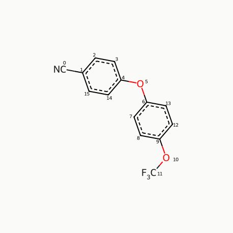 N#Cc1ccc(Oc2ccc(OC(F)(F)F)cc2)cc1